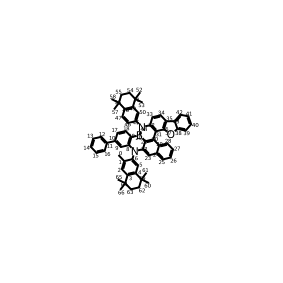 Cc1cc2c(cc1N1c3cc(-c4ccccc4)ccc3B3c4c1cc1ccccc1c4-c1c(ccc4c1oc1ccccc14)N3c1ccc3c(c1)C(C)(C)CCC3(C)C)C(C)(C)CCC2(C)C